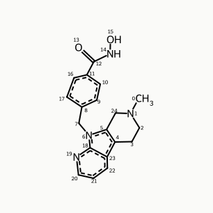 CN1CCc2c(n(Cc3ccc(C(=O)NO)cc3)c3ncccc23)C1